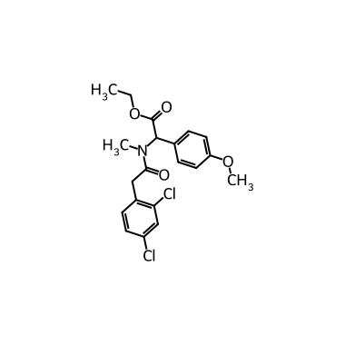 CCOC(=O)C(c1ccc(OC)cc1)N(C)C(=O)Cc1ccc(Cl)cc1Cl